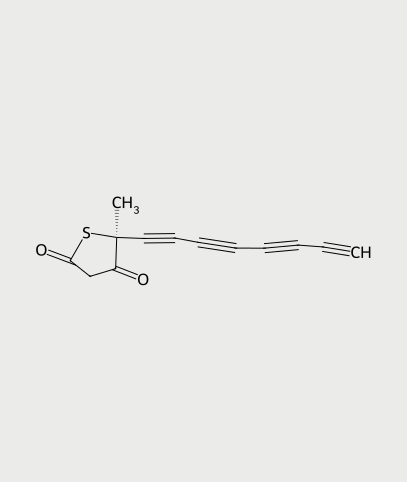 C#CC#CC#CC#C[C@]1(C)SC(=O)CC1=O